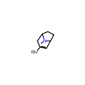 CN1C2C=C(C(C)(C)C)CC1CC2